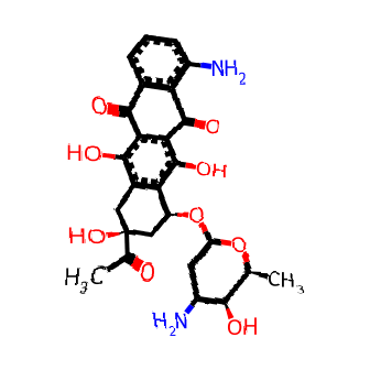 CC(=O)[C@]1(O)Cc2c(O)c3c(c(O)c2[C@@H](OC2CC(N)[C@H](O)[C@H](C)O2)C1)C(=O)c1c(N)cccc1C3=O